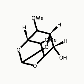 COC1C2OC3O[C@@H]1C(OC)[C@@H](O3)[C@@H]2O